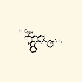 CNC(=O)c1cc2cnc(N3CCC[C@H](N)C3)nc2n2c1nc1ccccc12